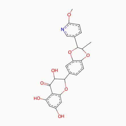 COc1ccc(C2Oc3cc(C4Oc5cc(O)cc(O)c5C(=O)C4O)ccc3OC2C)cn1